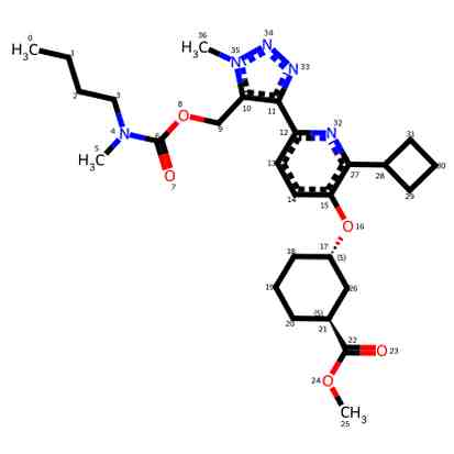 CCCCN(C)C(=O)OCc1c(-c2ccc(O[C@H]3CCC[C@H](C(=O)OC)C3)c(C3CCC3)n2)nnn1C